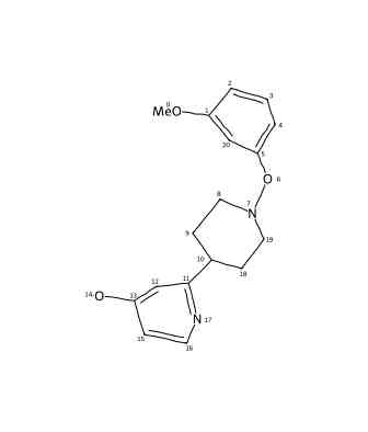 COc1cccc(ON2CCC(c3cc([O])ccn3)CC2)c1